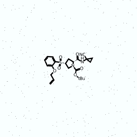 C=CCOc1ccccc1S(=O)(=O)[C@@H]1C[C@H](C(=O)NC2(C#N)CC2)N(C(=O)OC(C)(C)C)C1